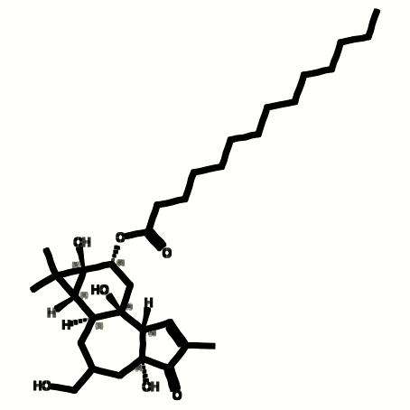 CCCCCCCCCCCCCC(=O)O[C@@H]1C[C@@]2(O)[C@@H](CC(CO)C[C@]3(O)C(=O)C(C)=C[C@@H]23)[C@@H]2C(C)(C)[C@@]21O